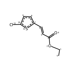 CCOC(=O)C=Cc1ccc(Cl)s1